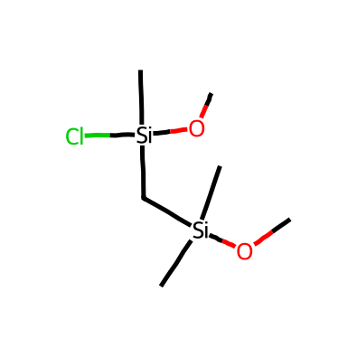 CO[Si](C)(C)C[Si](C)(Cl)OC